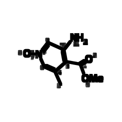 COC(=O)c1c(C)c[n+]([O-])cc1N